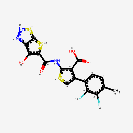 Cc1ccc(-c2csc(NC(=O)c3sc4snnc4c3O)c2C(=O)O)c(F)c1F